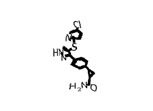 NC(=O)C1CC1c1ccc(-c2n[nH]cc2Sc2ccc(Cl)cn2)cc1